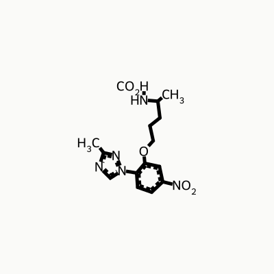 Cc1ncn(-c2ccc([N+](=O)[O-])cc2OCCCC(C)NC(=O)O)n1